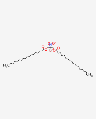 CCCCCCC/C=C/CCCCCCCCC(=O)OCC(Br)(COC(=O)CCCCCCC/C=C/CCCCCCCC)[N+](=O)[O-]